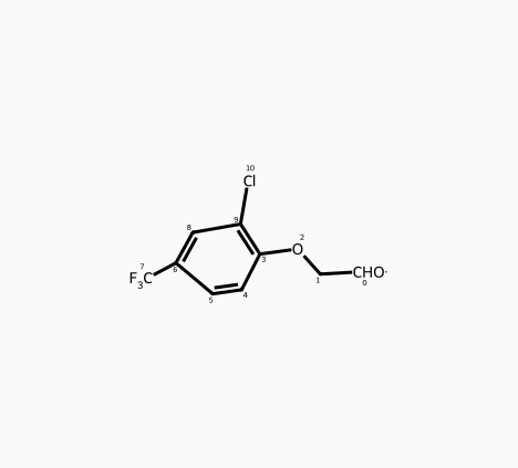 O=[C]COc1ccc(C(F)(F)F)cc1Cl